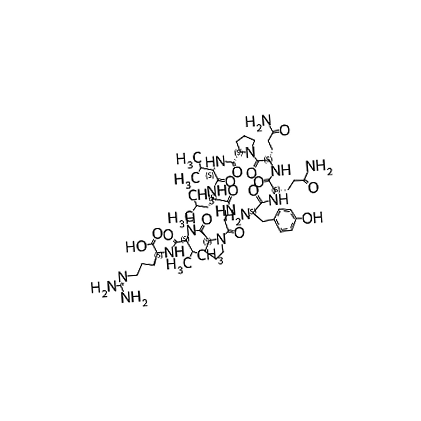 CC(C)C[C@H](NC(=O)[C@@H](NC(=O)[C@@H]1CCCN1C(=O)[C@H](CCC(N)=O)NC(=O)[C@H](CCC(N)=O)NC(=O)[C@@H](N)Cc1ccc(O)cc1)C(C)C)C(=O)NCC(=O)N1CCC[C@H]1C(=O)N[C@H](C(=O)N[C@@H](CCCN=C(N)N)C(=O)O)C(C)C